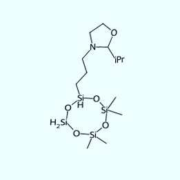 CC(C)C1OCCN1CCC[SiH]1O[SiH2]O[Si](C)(C)O[Si](C)(C)O1